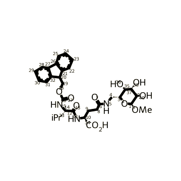 CO[C@@H]1O[C@H](CNC(=O)CC[C@H](NC(=O)[C@@H](NC(=O)OCC2c3ccccc3-c3ccccc32)C(C)C)C(=O)O)[C@@H](O)[C@H](O)[C@H]1O